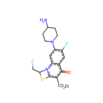 CCOC(=O)c1c2n(c3cc(N4CCC(N)CC4)c(F)cc3c1=O)C(CF)S2